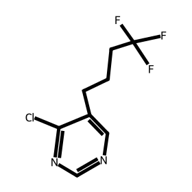 FC(F)(F)CCCc1cncnc1Cl